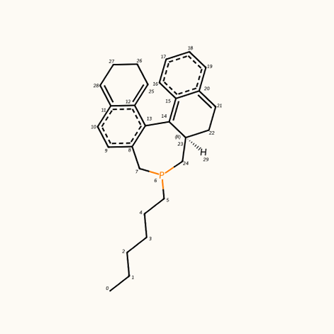 CCCCCCP1Cc2ccc3c(c2C2=c4ccccc4=CC[C@H]2C1)=CCCC=3